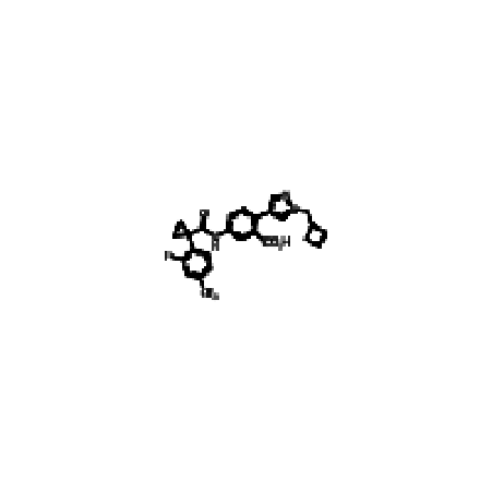 O=C(O)c1cc(NC(=O)C2(c3ccc(C(F)(F)F)cc3F)CC2)ccc1-c1cnn(CC2CCC2)c1